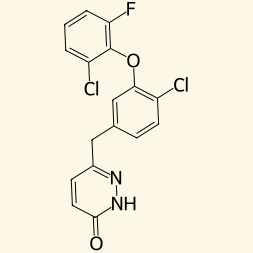 O=c1ccc(Cc2ccc(Cl)c(Oc3c(F)cccc3Cl)c2)n[nH]1